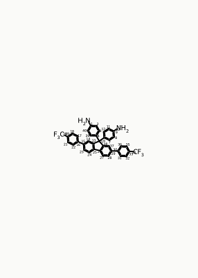 Nc1ccc(C2(c3ccc(N)cc3)c3cc(-c4ccc(C(F)(F)F)cc4)ccc3-c3ccc(-c4ccc(C(F)(F)F)cc4)cc32)cc1